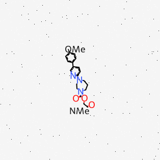 CNC(=O)COC(=O)N1CCCN(c2ccc(-c3ccc(OC)cc3)cn2)CC1